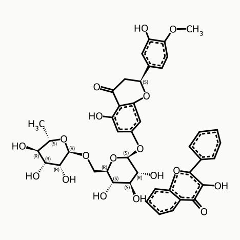 COc1ccc([C@@H]2CC(=O)c3c(O)cc(O[C@@H]4O[C@H](CO[C@@H]5O[C@@H](C)[C@H](O)[C@@H](O)[C@H]5O)[C@@H](O)[C@H](O)[C@H]4O)cc3O2)cc1O.O=c1c(O)c(-c2ccccc2)oc2ccccc12